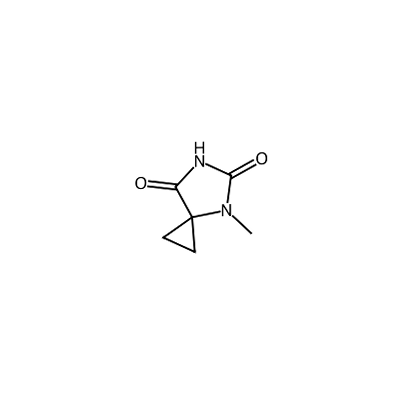 CN1C(=O)NC(=O)C12CC2